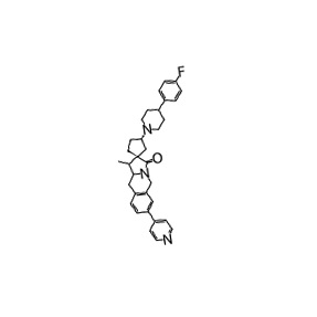 CC1C2Cc3ccc(-c4ccncc4)cc3CN2C(=O)[C@]12CC[C@@H](N1CCC(c3ccc(F)cc3)CC1)C2